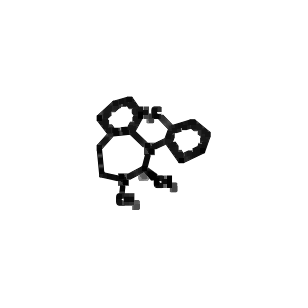 Cc1ccccc1N1c2ccccc2CCN(C)[C@@H]1C